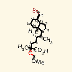 COCO[C@](C)(CCC[C@@H](C)[C@H]1CCC2C(=CBr)CCC[C@]21C)C(=O)O